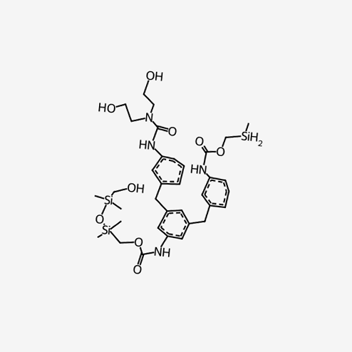 C[SiH2]COC(=O)Nc1cccc(Cc2cc(Cc3cccc(NC(=O)N(CCO)CCO)c3)cc(NC(=O)OC[Si](C)(C)O[Si](C)(C)CO)c2)c1